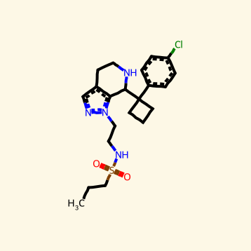 CCCS(=O)(=O)NCCn1ncc2c1C(C1(c3ccc(Cl)cc3)CCC1)NCC2